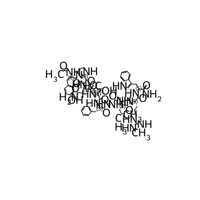 CNC(=N)NCCC[C@H](NC(=O)[C@H](CC(C)C)NC(=O)NNC(=O)[C@H](Cc1ccccc1)NC(=O)[C@@H](NC(=O)[C@H](CC(N)=O)NC(=O)[C@@H]1NCCN1C(=O)[C@@H](Cc1ccc(O)cc1)NC(C)=O)[C@@H](C)O)C(=O)N[C@@H](Cc1c[nH]c2ccccc12)C(N)=O